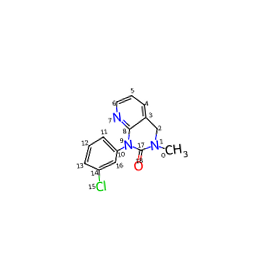 CN1Cc2cccnc2N(c2cccc(Cl)c2)C1=O